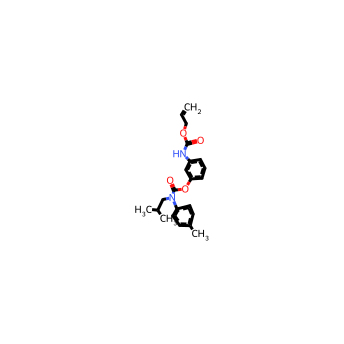 C=CCOC(=O)Nc1cccc(OC(=O)N(CC(C)C)c2ccc(C)cc2)c1